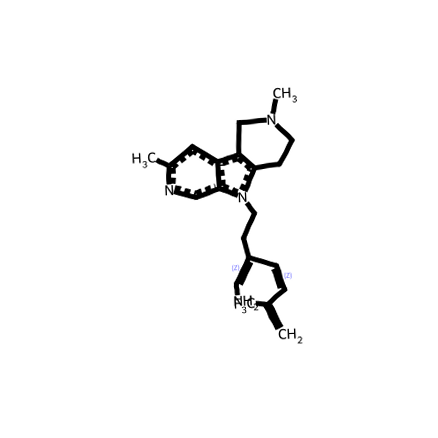 C=C(/C=C\C(=C/N)CCn1c2c(c3cc(C)ncc31)CN(C)CC2)C(F)(F)F